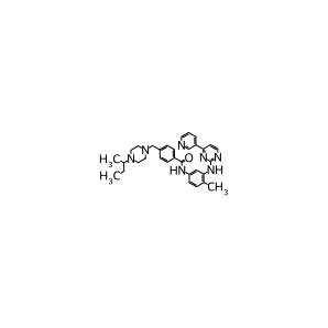 CCC(C)N1CCN(Cc2ccc(C(=O)Nc3ccc(C)c(Nc4nccc(-c5cccnc5)n4)c3)cc2)CC1